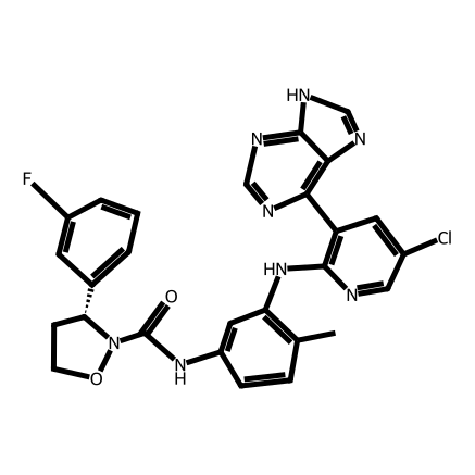 Cc1ccc(NC(=O)N2OCC[C@@H]2c2cccc(F)c2)cc1Nc1ncc(Cl)cc1-c1ncnc2[nH]cnc12